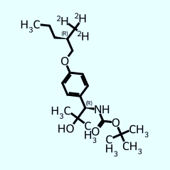 [2H]C([2H])([2H])[C@H](CCC)COc1ccc([C@@H](NC(=O)OC(C)(C)C)C(C)(C)O)cc1